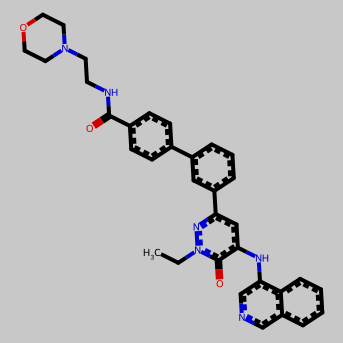 CCn1nc(-c2cccc(-c3ccc(C(=O)NCCN4CCOCC4)cc3)c2)cc(Nc2cncc3ccccc23)c1=O